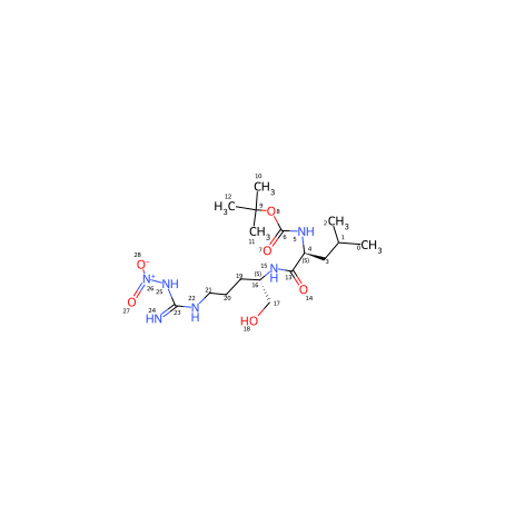 CC(C)C[C@H](NC(=O)OC(C)(C)C)C(=O)N[C@H](CO)CCCNC(=N)N[N+](=O)[O-]